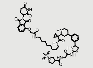 CS(=O)(=O)N1CCC(C(=O)NCC(=O)NC2NC(c3cccc(C4CCNC(C5(C(=O)NCCCCCCCCNC(=O)COc6cccc7c6C(=O)N(C6CCC(=O)NC6=O)C7=O)CC5)C4)c3)CS2)C1